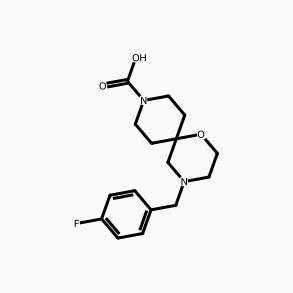 O=C(O)N1CCC2(CC1)CN(Cc1ccc(F)cc1)CCO2